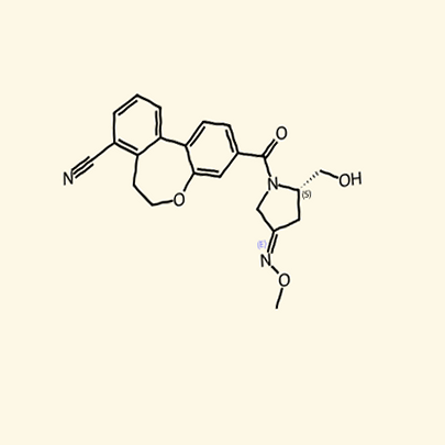 CO/N=C1\C[C@@H](CO)N(C(=O)c2ccc3c(c2)OCCc2c(C#N)cccc2-3)C1